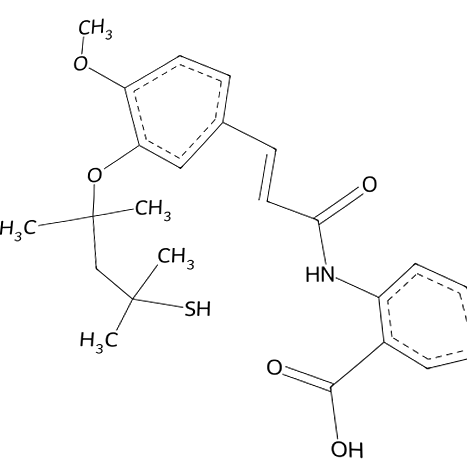 COc1ccc(/C=C/C(=O)Nc2ccccc2C(=O)O)cc1OC(C)(C)CC(C)(C)S